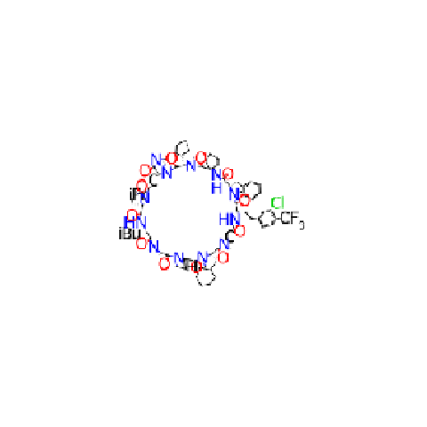 CC[C@H](C)[C@@H]1NC(=O)[C@H](CC(C)C)N(C)C(=O)C[C@@H](C(=O)N(C)C)N(C)C(=O)[C@H](C2CCCC2)N(C)C(=O)C2(CCCC2)NC(=O)[C@H](Cc2ccccc2)N(C)C(=O)[C@H](CCc2ccc(C(F)(F)F)c(Cl)c2)NC(=O)CN(C)C(=O)[C@H](CC2CCCCC2)N(C)C(=O)[C@@H]2CCN2C(=O)[C@H](C)N(C)C1=O